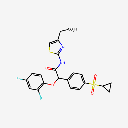 O=C(O)Cc1csc(NC(=O)C(Oc2ccc(F)cc2F)c2ccc(S(=O)(=O)C3CC3)cc2)n1